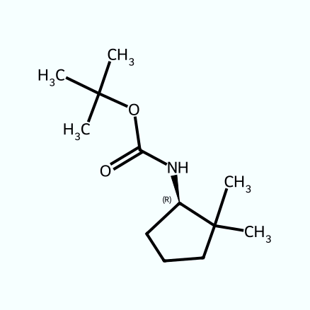 CC(C)(C)OC(=O)N[C@@H]1CCCC1(C)C